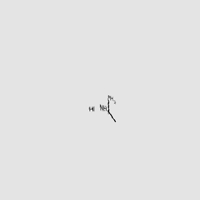 CCP.I.N